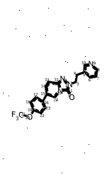 O=c1n(CCc2cccnc2)nc2ccc(-c3ccc(OC(F)(F)F)cc3)cn12